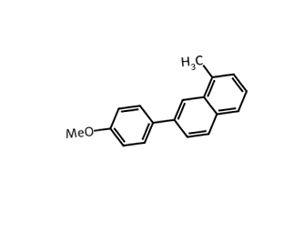 COc1ccc(-c2ccc3cccc(C)c3c2)cc1